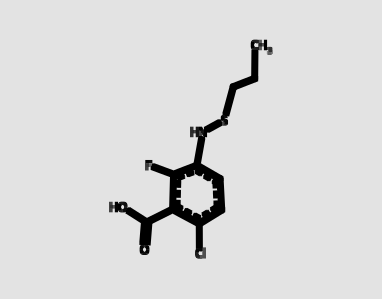 CCCSNc1ccc(Cl)c(C(=O)O)c1F